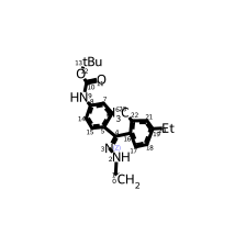 C=CN/N=C(/c1ccc(NC(=O)OC(C)(C)C)cc1)c1ccc(CC)cc1C